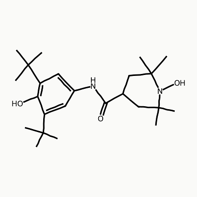 CC(C)(C)c1cc(NC(=O)C2CC(C)(C)N(O)C(C)(C)C2)cc(C(C)(C)C)c1O